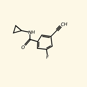 C#Cc1cc(F)cc(C(=O)NC2CC2)c1